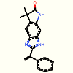 C=C(c1ccccc1)c1nc2cc3c(cc2[nH]1)NC(=O)C3(C)C